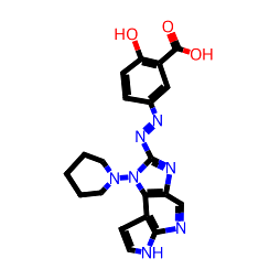 O=C(O)c1cc(/N=N/c2nc3cnc4[nH]ccc4c3n2N2CCCCC2)ccc1O